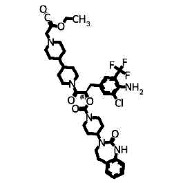 CCOC(=C=O)CN1CCC(C2CCN(C(=O)[C@@H](Cc3cc(Cl)c(N)c(C(F)(F)F)c3)OC(=O)N3CCC(N4CCc5ccccc5NC4=O)CC3)CC2)CC1